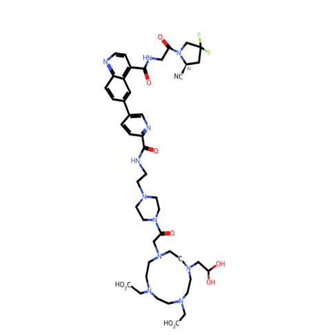 N#C[C@@H]1CC(F)(F)CN1C(=O)CNC(=O)c1ccnc2ccc(-c3ccc(C(=O)NCCN4CCN(C(=O)CN5CCN(CC(=O)O)CCN(CC(=O)O)CCN(CC(O)O)CC5)CC4)nc3)cc12